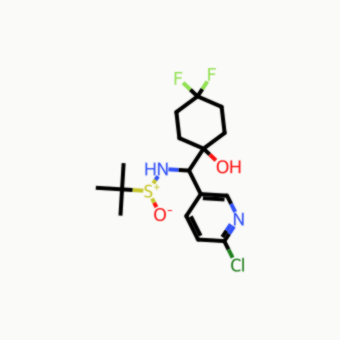 CC(C)(C)[S+]([O-])NC(c1ccc(Cl)nc1)C1(O)CCC(F)(F)CC1